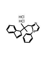 CC(C)(Cc1nccn1-c1ccccc1)C1C=Cc2ccccc21.Cl.Cl